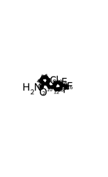 NC(=O)c1cccc(Cl)c1Cc1ccc(C(F)(F)F)cc1